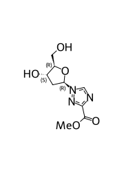 COC(=O)c1ncn([C@H]2C[C@H](O)[C@@H](CO)O2)n1